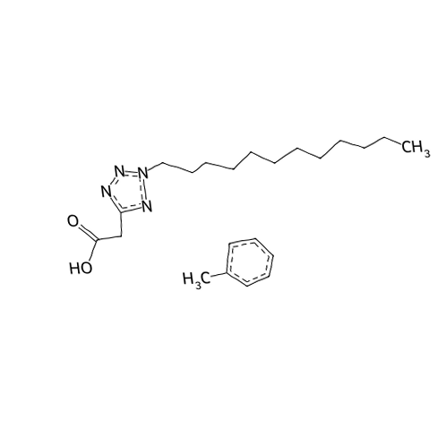 CCCCCCCCCCCCn1nnc(CC(=O)O)n1.Cc1ccccc1